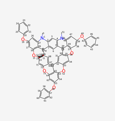 CN1c2cc3c(cc2B2c4ccccc4Oc4cc(Oc5ccccc5)cc1c42)B1c2cc4c(cc2Oc2cc(Oc5ccccc5)cc(c21)N3C)Oc1cc(Oc2ccccc2)cc2c1B4c1ccccc1O2